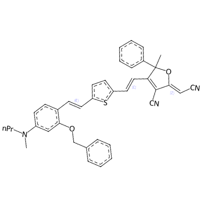 CCCN(C)c1ccc(/C=C/c2ccc(/C=C/C3=C(C#N)C(=C/C#N)/OC3(C)c3ccccc3)s2)c(OCc2ccccc2)c1